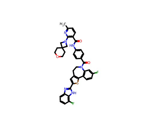 Cc1ccc(C(=O)Nc2ccc(C(=O)N3CCc4cc(-c5nc6cccc(F)c6[nH]5)sc4-c4ccc(F)cc43)cc2)c(N2CC3(CCOCC3)C2)n1